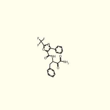 NC(=O)C(=O)C(Cc1ccccc1)NC(=O)c1oc(C(F)(F)F)nc1-c1ccccc1